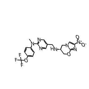 CN(c1ccc(OC(F)(F)F)cc1)c1ncc(CN[C@@H]2COc3nc([N+](=O)[O-])cn3C2)cn1